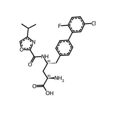 CC(C)c1coc(C(=O)N[C@H](Cc2ccc(-c3cc(Cl)ccc3F)cc2)C[C@@H](N)C(=O)O)n1